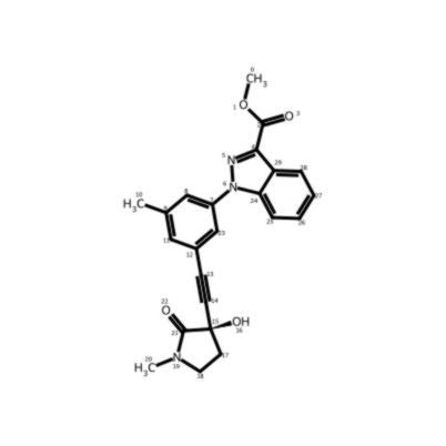 COC(=O)c1nn(-c2cc(C)cc(C#C[C@]3(O)CCN(C)C3=O)c2)c2ccccc12